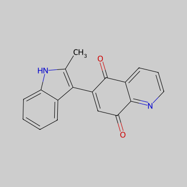 Cc1[nH]c2ccccc2c1C1=CC(=O)c2ncccc2C1=O